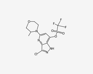 CC1COCCN1c1cc(OS(=O)(=O)C(F)(F)F)c2[nH]nc(Cl)c2n1